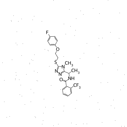 CC(NC(=O)c1ccccc1C(F)(F)F)c1nnc(SCCOc2ccc(F)cc2)n1C